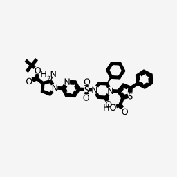 CC(C)(C)OC(=O)C1CCN(c2ccc(S(=O)(=O)N3CC(=O)N(c4cc(-c5ccccc5)sc4C(=O)O)[C@H](C4CCCCC4)C3)cn2)[C@H]1N